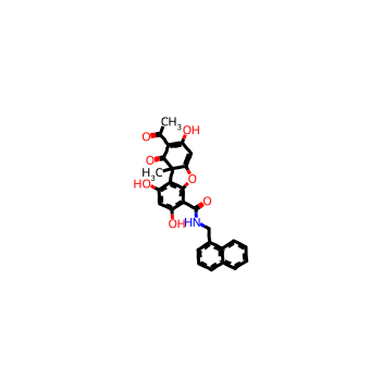 CC(=O)C1=C(O)C=C2Oc3c(C(=O)NCc4cccc5ccccc45)c(O)cc(O)c3C2(C)C1=O